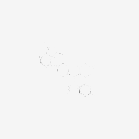 C[C@@H]1C[C@@H](O)c2ncnc(N3CCN(C(C(C=O)c4ccc(Br)cc4)N4CCC(O)CC4)CC3)c21